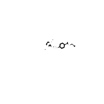 C#CCNC(=O)c1ccc(/N=N/N=c2n(SC)ccn2SC)cc1